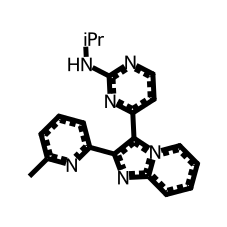 Cc1cccc(-c2nc3ccccn3c2-c2ccnc(NC(C)C)n2)n1